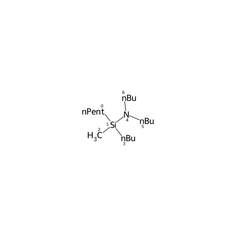 CCCCC[Si](C)(CCCC)N(CCCC)CCCC